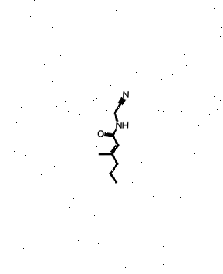 CCC/C(C)=C/C(=O)NCC#N